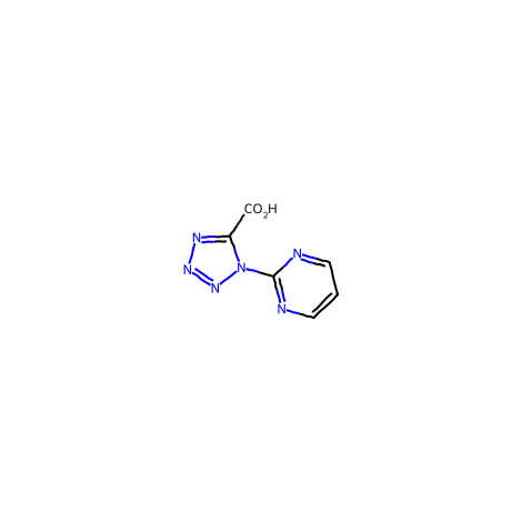 O=C(O)c1nnnn1-c1ncccn1